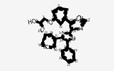 O=C(O)COc1cccc(-c2ocnc2-c2nc(-c3ccccc3)c(-c3ccccc3)s2)c1